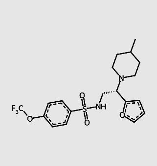 CC1CCN([C@@H](CNS(=O)(=O)c2ccc(OC(F)(F)F)cc2)c2ccco2)CC1